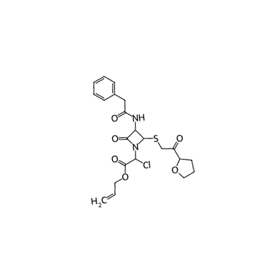 C=CCOC(=O)C(Cl)N1C(=O)C(NC(=O)Cc2ccccc2)C1SCC(=O)C1CCCO1